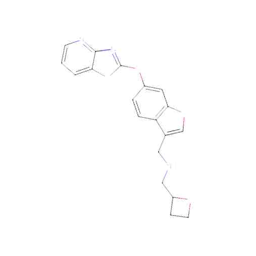 c1cnc2nc(Oc3ccc4c(CNCC5CCO5)coc4c3)sc2c1